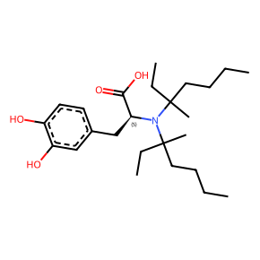 CCCCC(C)(CC)N([C@@H](Cc1ccc(O)c(O)c1)C(=O)O)C(C)(CC)CCCC